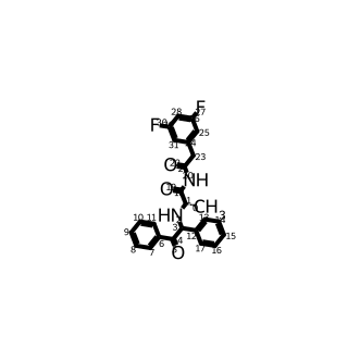 C[C@H](NC(C(=O)c1ccccc1)c1ccccc1)C(=O)NC(=O)Cc1cc(F)cc(F)c1